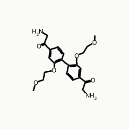 COCCOc1cc(C(=O)CN)ccc1-c1ccc(C(=O)CN)cc1OCCOC